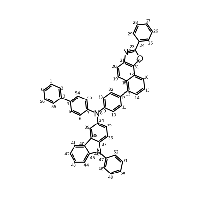 c1ccc(-c2ccc(N(c3ccc(-c4cccc5c4ccc4nc(-c6ccccc6)oc45)cc3)c3ccc4c(c3)c3ccccc3n4-c3ccccc3)cc2)cc1